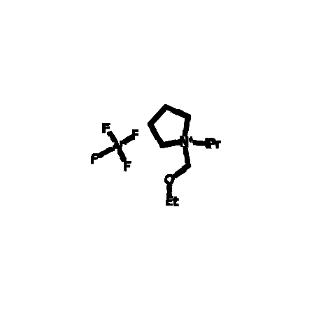 CCOC[N+]1(C(C)C)CCCC1.[F][Al-]([F])([F])[F]